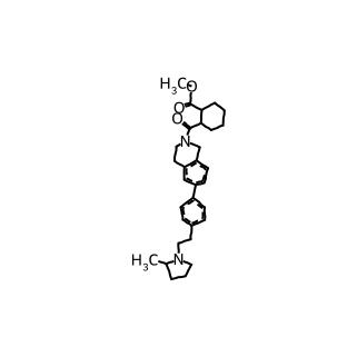 COC(=O)C1CCCCC1C(=O)N1CCc2cc(-c3ccc(CCN4CCCC4C)cc3)ccc2C1